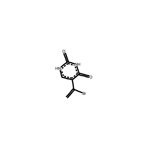 C=C(Br)c1c[nH]c(=O)[nH]c1=O